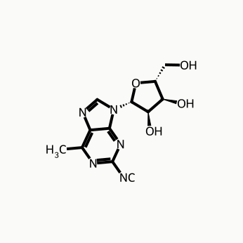 [C-]#[N+]c1nc(C)c2ncn([C@@H]3O[C@H](CO)[C@@H](O)[C@H]3O)c2n1